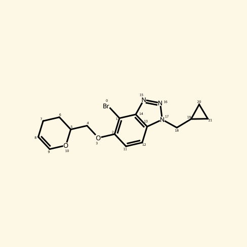 Brc1c(OCC2CCC=CO2)ccc2c1nnn2CC1CC1